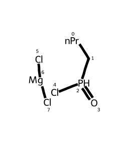 CCCC[PH](=O)Cl.[Cl][Mg][Cl]